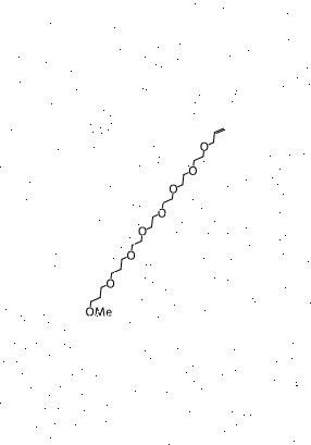 C=CCOCCOCCOCCOCCOCCOCCCOCCCOC